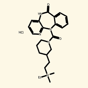 CC[N+](C)(C)CCC1CCCN(C(=O)N2c3ccccc3C(=O)Nc3cccnc32)C1.Cl